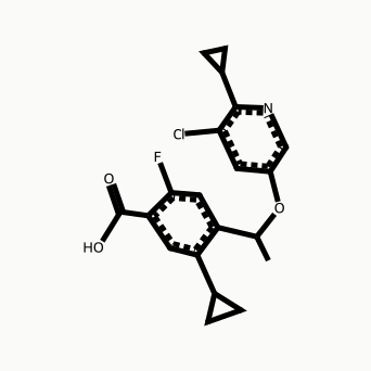 CC(Oc1cnc(C2CC2)c(Cl)c1)c1cc(F)c(C(=O)O)cc1C1CC1